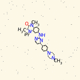 CC(C)N1c2cc(Nc3nccc(-c4ccc(N5CCN(C)CC5)cc4)n3)ccc2N(C)C(=O)C1C